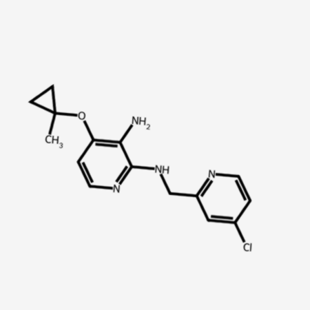 CC1(Oc2ccnc(NCc3cc(Cl)ccn3)c2N)CC1